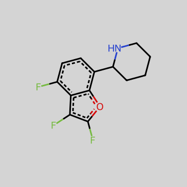 Fc1oc2c(C3CCCCN3)ccc(F)c2c1F